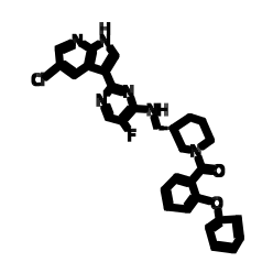 O=C(c1ccccc1Oc1ccccc1)N1CCC[C@@H](CNc2nc(-c3c[nH]c4ncc(Cl)cc34)ncc2F)C1